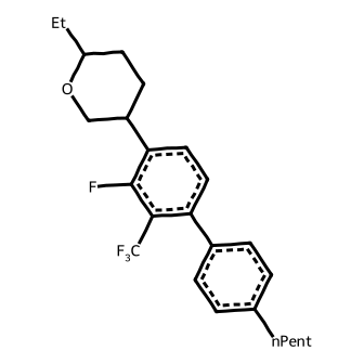 CCCCCc1ccc(-c2ccc(C3CCC(CC)OC3)c(F)c2C(F)(F)F)cc1